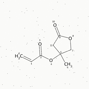 C=CC(=O)OC1(C)COC(=O)C1